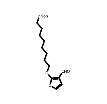 CCCCCCCCCCCCCCCCCOc1occc1C=O